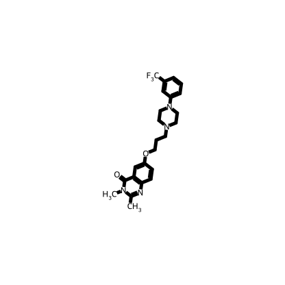 Cc1nc2ccc(OCCCN3CCN(c4cccc(C(F)(F)F)c4)CC3)cc2c(=O)n1C